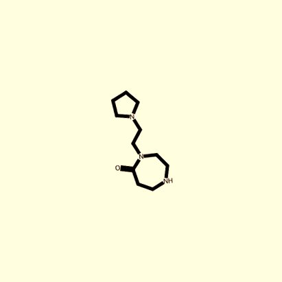 O=C1CCNCCN1CCN1CCCC1